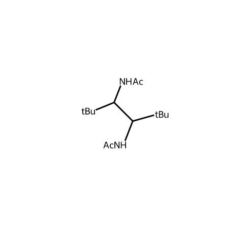 CC(=O)NC(C(NC(C)=O)C(C)(C)C)C(C)(C)C